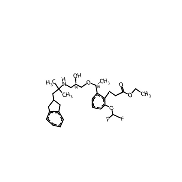 CCOC(=O)CCc1c(OC(F)F)cccc1[C@@H](C)OC[C@H](O)CNC(C)(C)CC1Cc2ccccc2C1